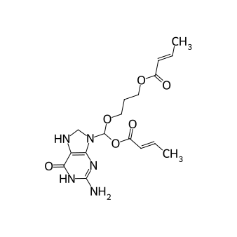 CC=CC(=O)OCCCOC(OC(=O)C=CC)N1CNc2c1nc(N)[nH]c2=O